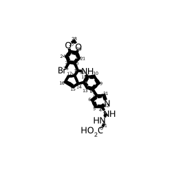 O=C(O)CNNc1ccc(-c2ccc3c(c2)C2C=CCC2C(c2cc4c(cc2Br)OCO4)N3)cn1